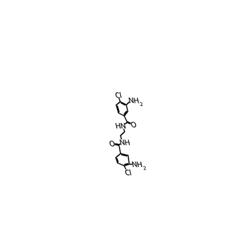 Nc1cc(C(=O)NCCNC(=O)c2ccc(Cl)c(N)c2)ccc1Cl